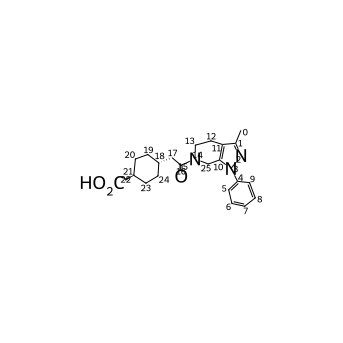 Cc1nn(-c2ccccc2)c2c1CCN(C(=O)C[C@H]1CC[C@H](C(=O)O)CC1)C2